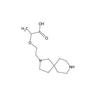 CC(OCCN1CCC2(CCNCC2)C1)C(=O)O